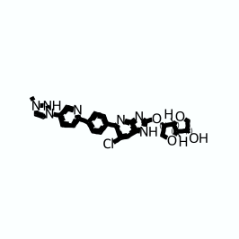 CN1C=CN(c2ccc(-c3ccc(-c4nc5nc(O[C@@H]6CO[C@H]7[C@@H]6OC[C@H]7O)[nH]c5cc4Cl)cc3)nc2)N1